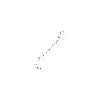 C=C/C=C\CN(C)CCC(=C)NCCOCCCCCCCCCCCC(=O)NC1CCOCC1